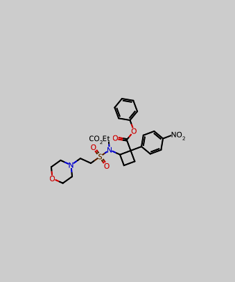 CCOC(=O)N(C1CCC1(C(=O)Oc1ccccc1)c1ccc([N+](=O)[O-])cc1)S(=O)(=O)CCN1CCOCC1